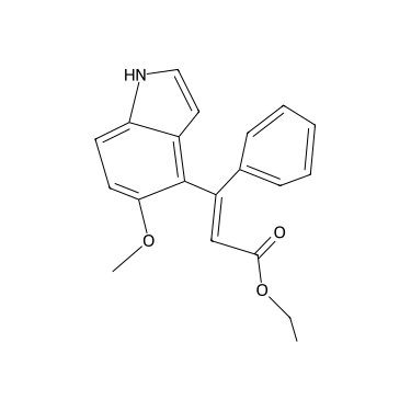 CCOC(=O)C=C(c1ccccc1)c1c(OC)ccc2[nH]ccc12